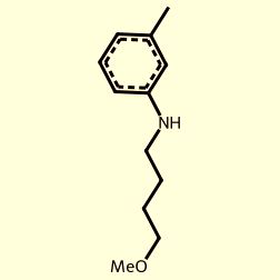 COCCCCNc1cccc(C)c1